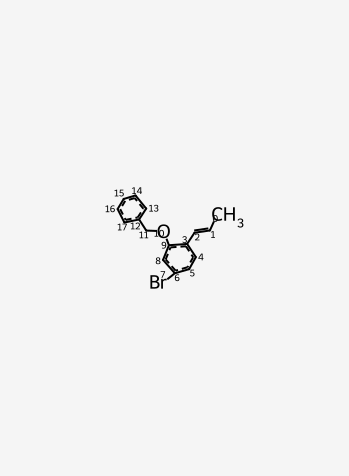 CC=Cc1ccc(Br)cc1OCc1ccccc1